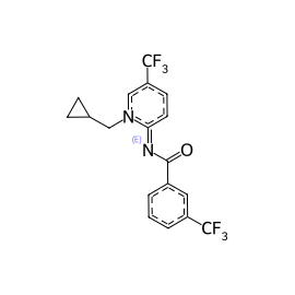 O=C(/N=c1\ccc(C(F)(F)F)cn1CC1CC1)c1cccc(C(F)(F)F)c1